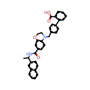 CC(NC(=O)c1ccc2c(c1)OCCN2Cc1ccc(-c2ccccc2C(=O)O)cc1)c1ccc2ccccc2c1